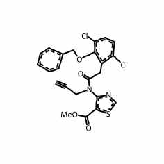 C#CCN(C(=O)Cc1c(Cl)ccc(Cl)c1OCc1ccccc1)c1ncsc1C(=O)OC